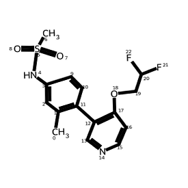 Cc1cc(NS(C)(=O)=O)ccc1-c1cnccc1OCC(F)F